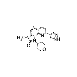 Cn1c(=O)n(C2CCOCC2)c2c3nc(-c4cn[nH]c4)ccc3ncc21